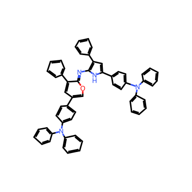 c1ccc(-c2cc(-c3ccc(N(c4ccccc4)c4ccccc4)cc3)[nH]c2/N=c2\occ(-c3ccc(N(c4ccccc4)c4ccccc4)cc3)cc2-c2ccccc2)cc1